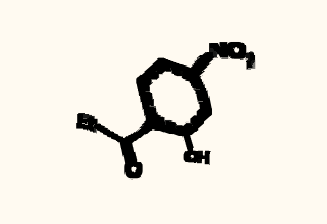 CCC(=O)c1ccc([N+](=O)[O-])cc1O